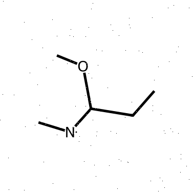 CCC([N]C)OC